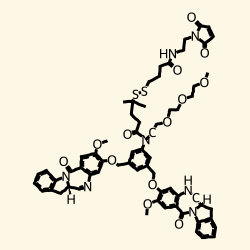 COCCOCCOCCN(C(=O)CCC(C)(C)SSCCCC(=O)NCCN1C(=O)C=CC1=O)c1cc(COc2cc3c(cc2OC)C(=O)N2c4ccccc4C[C@H]2C=N3)cc(COc2cc3c(cc2OC)C(=O)N2c4ccccc4C[C@H]2CN3)c1